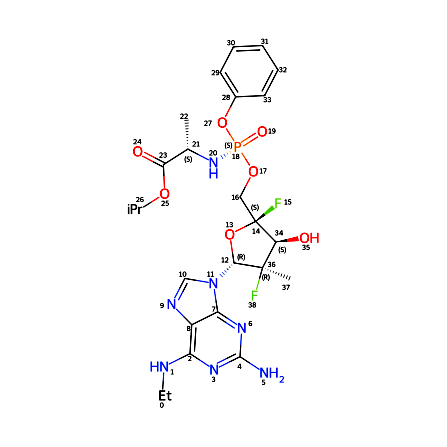 CCNc1nc(N)nc2c1ncn2[C@@H]1O[C@](F)(CO[P@@](=O)(N[C@@H](C)C(=O)OC(C)C)Oc2ccccc2)[C@@H](O)[C@@]1(C)F